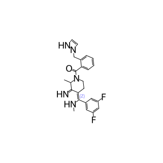 CN/C(=C1/CCN(C(=O)c2ccccc2Cn2cc[nH]2)C(C)C1=N)c1cc(F)cc(F)c1